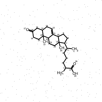 CC(CCCC(C)C1CCC2C3=CCC4CC(=O)CCC4(C)C3CCC21C)C(=O)O